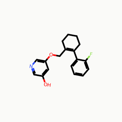 Oc1cncc(OCC2=C(c3ccccc3F)CCCC2)c1